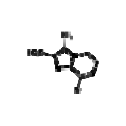 Nc1c(C(=O)O)nc2c(Br)cccn12